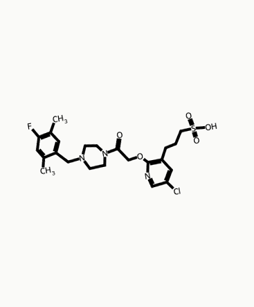 Cc1cc(CN2CCN(C(=O)COc3ncc(Cl)cc3CCCS(=O)(=O)O)CC2)c(C)cc1F